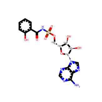 Nc1ncnc2c1ncn2[13C@@H]1O[13C@H]([13CH2]OS(=O)(=O)NC(=O)c2ccccc2O)[13C@@H](O)[13C@H]1O